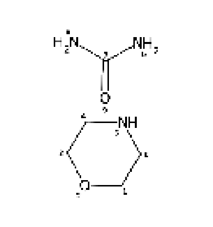 C1COCCN1.NC(N)=O